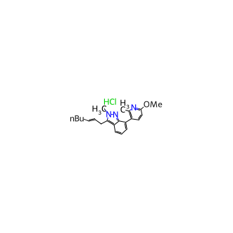 CCCCC=CCc1c2cccc(-c3ccc(OC)nc3C)c2nn1C.Cl